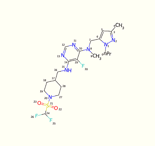 CCCn1nc(C)cc1CN(C)c1ncnc(NCC2CCN(S(=O)(=O)C(F)F)CC2)c1F